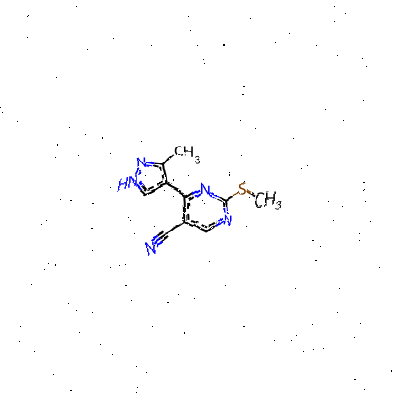 CSc1ncc(C#N)c(-c2c[nH]nc2C)n1